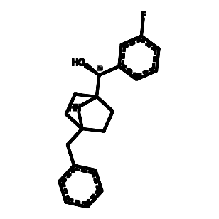 O[C@@H](c1cccc(F)c1)C12CCC(Cc3ccccc3)(CC1)N2